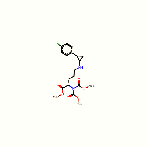 CC(C)(C)OC(=O)[C@H](CCCNC1CC1c1ccc(F)cc1)N(C(=O)OC(C)(C)C)C(=O)OC(C)(C)C